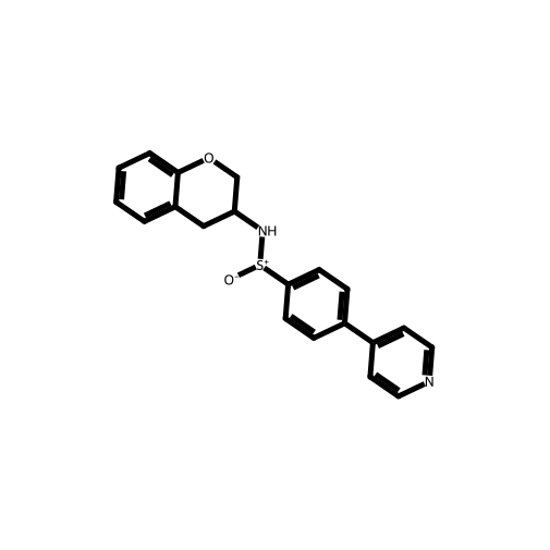 [O-][S+](NC1COc2ccccc2C1)c1ccc(-c2ccncc2)cc1